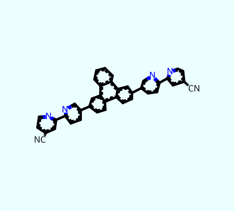 N#Cc1ccnc(-c2ccc(-c3ccc4c5ccc(-c6ccc(-c7cc(C#N)ccn7)nc6)cc5c5ccccc5c4c3)cn2)c1